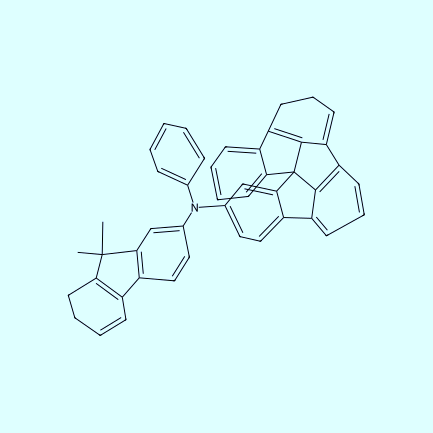 CC1(C)C2=C(C=CCC2)c2ccc(N(c3ccccc3)c3ccc4c(c3)C35C6=C(CCC=C6c6cccc-4c63)c3ccccc35)cc21